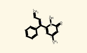 C=C/C=C(\c1ccccc1)c1cc(C)cc(=O)n1O